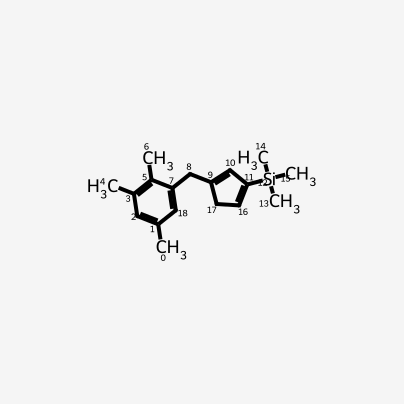 Cc1cc(C)c(C)c(CC2=CC([Si](C)(C)C)=CC2)c1